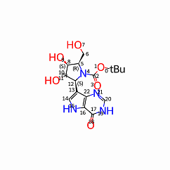 CC(C)(C)OC(=O)N1[C@H](CO)[C@H](O)[C@@H](O)[C@@H]1c1c[nH]c2c(=O)[nH]cnc12